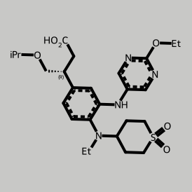 CCOc1ncc(Nc2cc([C@H](COC(C)C)CC(=O)O)ccc2N(CC)C2CCS(=O)(=O)CC2)cn1